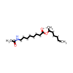 CCCCCC(C)OC(=O)CCCCCCCNC(C)=O